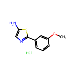 COc1cccc(-c2ncc(N)s2)c1.Cl